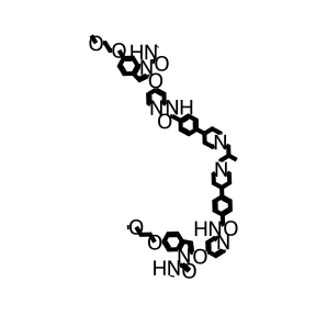 CNC(=O)n1c(Oc2ccnc(NC(=O)c3ccc(C4CCN(CC(C)CN5CCC(c6ccc(C(=O)Nc7cc(Oc8cc9ccc(OCCOC)cc9n8C(=O)NC)ccn7)cc6)CC5)CC4)cc3)c2)cc2ccc(OCCOC)cc21